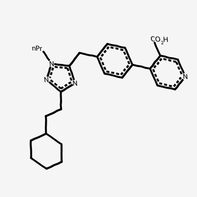 CCCn1nc(CCC2CCCCC2)nc1Cc1ccc(-c2ccncc2C(=O)O)cc1